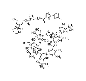 Cc1c(N)nc([C@H](CC(N)=O)NC[C@H](N)C(N)=O)nc1C(=O)N[C@H](C(=O)N[C@H](C)[C@@H](O)[C@H](C)C(=O)N[C@H](C(=O)NCCc1nc(-c2nc(C(=O)NCCC[S+](C)C)cs2)cs1)[C@@H](C)O)[C@@H](O[C@@H]1O[C@@H](CO)[C@@H](O)[C@H](O)[C@@H]1O[C@H]1O[C@H](CO)[C@@H](O)[C@H](OC(N)=O)[C@@H]1O)c1cnc[nH]1.O=P1(N(CCCl)CCCl)NCCCO1